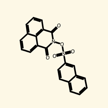 O=C1c2cccc3cccc(c23)C(=O)N1OS(=O)(=O)c1ccc2ccccc2c1